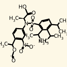 CC(C)c1ccc(S(=O)(=O)N(c2ccc(C(C)O[C]=O)c([N+](=O)[O-])c2)[C@@H](C)C(=O)O)c(C(C)C)c1C(C)C